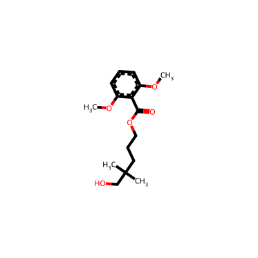 COc1cccc(OC)c1C(=O)OCCCC(C)(C)CO